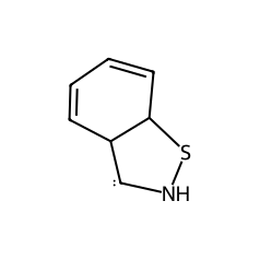 [C]1NSC2C=CC=CC12